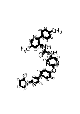 Cc1ccc(-c2ncc(C(F)(F)F)cc2NC(=O)Nc2cnc(Oc3ccc(-c4cnc(N5CCCC5=O)s4)cc3)nc2)cc1